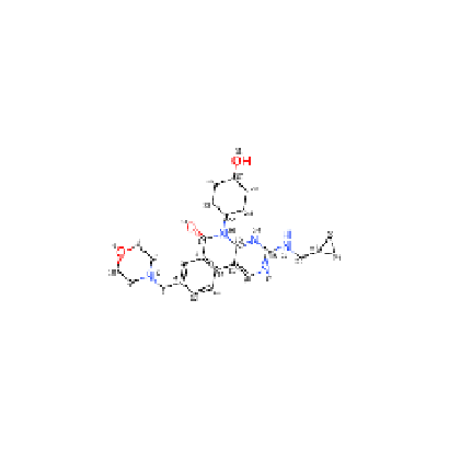 O=c1c2cc(CN3CCOCC3)ccc2c2cnc(NCC3CC3)nc2n1C1CCC(O)CC1